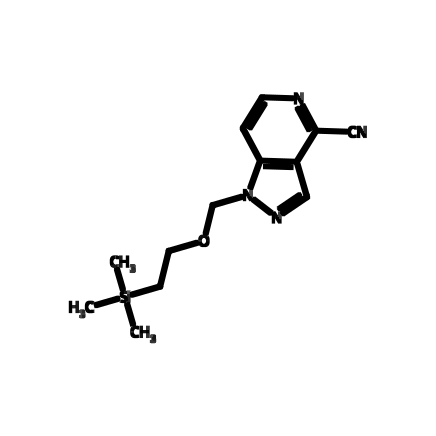 C[Si](C)(C)CCOCn1ncc2c(C#N)nccc21